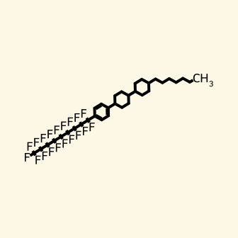 CCCCCCCC1CCC(C2CCC(c3ccc(C(F)(F)C(F)(F)C(F)(F)C(F)(F)C(F)(F)C(F)(F)C(F)(F)C(F)(F)C(F)(F)F)cc3)CC2)CC1